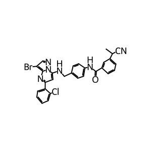 CC(C#N)c1cccc(C(=O)Nc2ccc(CNc3cc(-c4ccccc4Cl)nc4c(Br)cnn34)cc2)c1